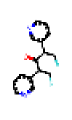 O=C(C(CF)c1cccnc1)C(CF)c1cccnc1